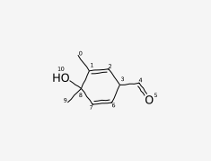 CC1=CC(C=O)C=CC1(C)O